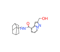 O=C(NCC12CC3CC(CC(C3)C1)C2)c1cccn2nc(CO)cc12